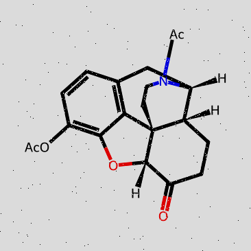 CC(=O)Oc1ccc2c3c1O[C@H]1C(=O)CC[C@H]4[C@@H](C2)N(C(C)=O)CC[C@]314